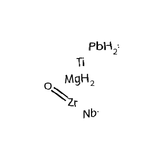 [MgH2].[Nb].[O]=[Zr].[PbH2].[Ti]